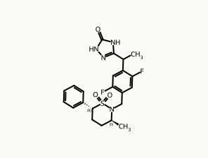 CC(c1n[nH]c(=O)[nH]1)c1cc(F)c(CN2[C@@H](C)CC[C@H](c3ccccc3)S2(=O)=O)cc1F